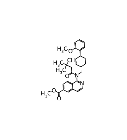 COC(=O)c1ccc2c(N(C[C@H]3CC[C@H](c4ccccc4OC)CC3)C(=O)CC(C)(C)C)nccc2c1